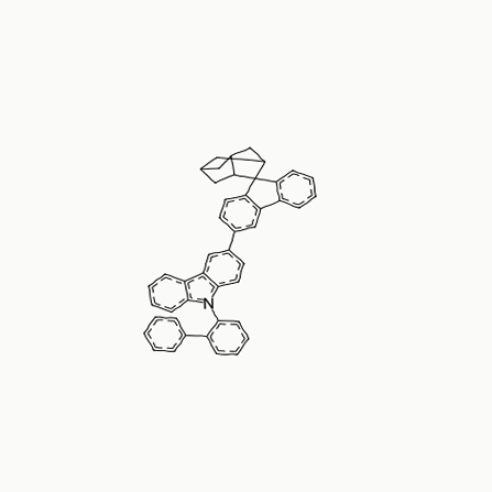 c1ccc(-c2ccccc2-n2c3ccccc3c3cc(-c4ccc5c(c4)-c4ccccc4C54C5CC6CC(C5)C4C6)ccc32)cc1